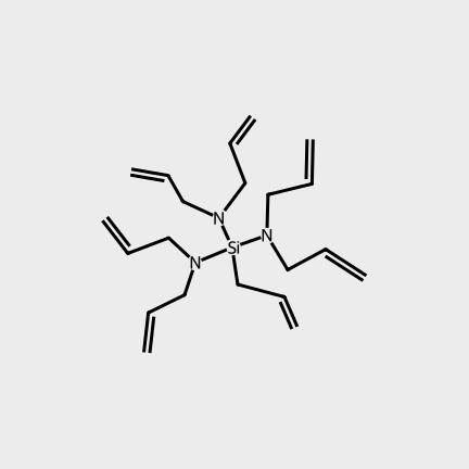 C=CCN(CC=C)[Si](CC=C)(N(CC=C)CC=C)N(CC=C)CC=C